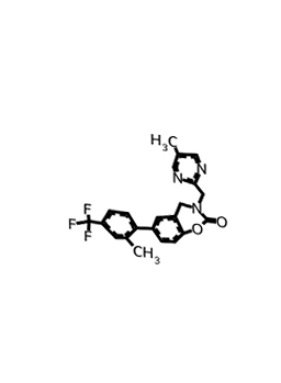 Cc1cnc(CN2Cc3cc(-c4ccc(C(F)(F)F)cc4C)ccc3OC2=O)nc1